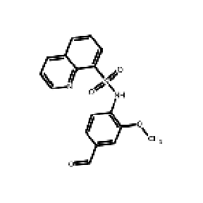 COc1cc(C=O)ccc1NS(=O)(=O)c1cccc2cccnc12